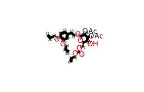 C=CCOC(=O)OC[C@H]1O[C@@H](OCCc2ccc(OCC=C)c(OCC=C)c2)[C@H](OC(C)=O)[C@@H](OC(C)=O)[C@@H]1O